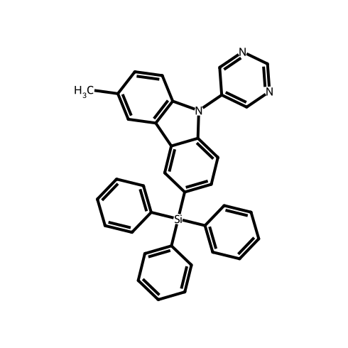 Cc1ccc2c(c1)c1cc([Si](c3ccccc3)(c3ccccc3)c3ccccc3)ccc1n2-c1cncnc1